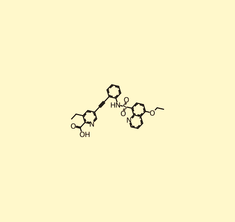 CCOc1ccc(S(=O)(=O)Nc2ccccc2C#Cc2cnc(C(=O)O)c(CC)c2)c2ncccc12